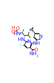 CC(C)[C@H](Nc1nc(Nc2cncc(C3CC3)c2)c(C(N)=O)cc1F)[C@H](C)NC(=O)O